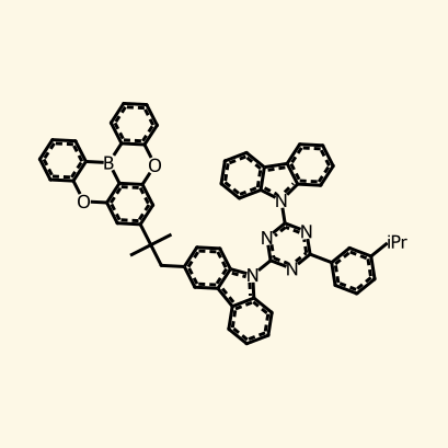 CC(C)c1cccc(-c2nc(-n3c4ccccc4c4ccccc43)nc(-n3c4ccccc4c4cc(CC(C)(C)c5cc6c7c(c5)Oc5ccccc5B7c5ccccc5O6)ccc43)n2)c1